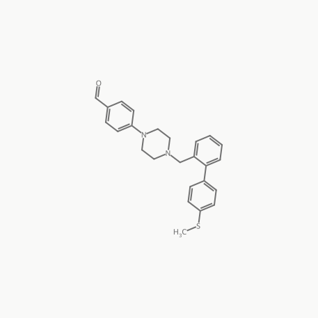 CSc1ccc(-c2ccccc2CN2CCN(c3ccc(C=O)cc3)CC2)cc1